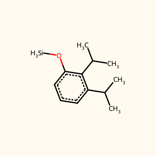 CC(C)c1cccc(O[SiH3])c1C(C)C